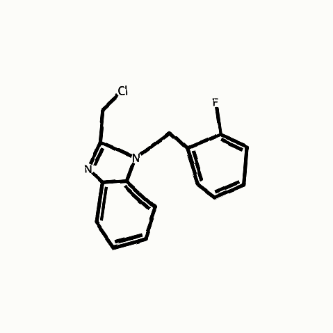 Fc1ccccc1Cn1c(CCl)nc2ccccc21